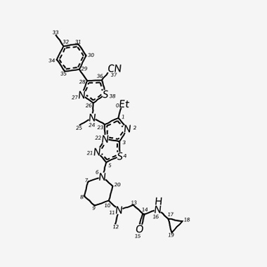 CCc1nc2sc(N3CCCC(N(C)CC(=O)NC4CC4)C3)nn2c1N(C)c1nc(-c2ccc(C)cc2)c(C#N)s1